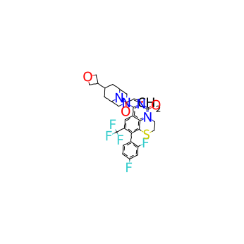 C=CC(=O)N1C2CC(C3COC3)CC1CN(c1nc(=O)n3c4c(c(-c5ccc(F)cc5F)c(C(F)(F)F)cc14)SCC3)C2